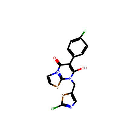 O=c1c(-c2ccc(F)cc2)c(O)n(Cc2cnc(Cl)s2)c2scc[n+]12